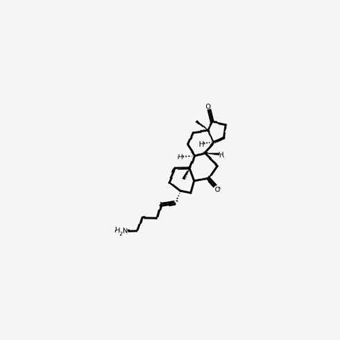 C[C@]12CC[C@@H](C=CCCCN)CC1C(=O)C[C@@H]1[C@@H]2CC[C@]2(C)C(=O)CC[C@@H]12